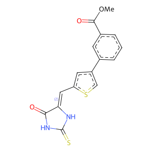 COC(=O)c1cccc(-c2csc(/C=C3\NC(=S)NC3=O)c2)c1